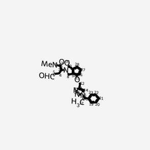 CNC(=O)C(CCC=O)N1Cc2c(OCc3cn([C@@H](C)c4ccccc4)nn3)cccc2C1=O